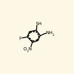 Nc1cc([N+](=O)[O-])c(F)cc1S